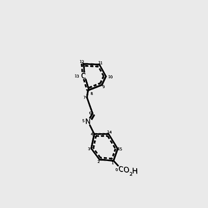 O=C(O)c1ccc(N=CCc2ccccc2)cc1